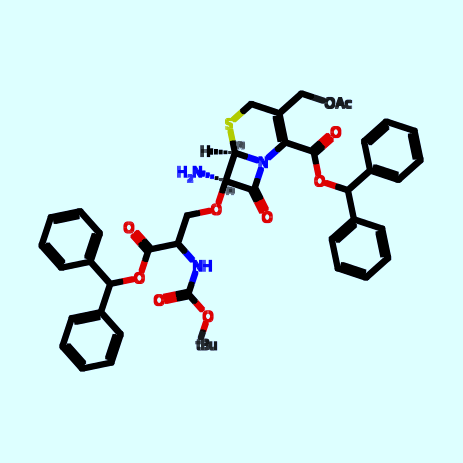 CC(=O)OCC1=C(C(=O)OC(c2ccccc2)c2ccccc2)N2C(=O)[C@@](N)(OCC(NC(=O)OC(C)(C)C)C(=O)OC(c3ccccc3)c3ccccc3)[C@H]2SC1